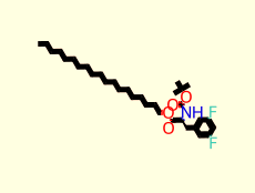 CCCCCCCCCCCCCCCCCCCOC(=O)[C@H](Cc1cc(F)cc(F)c1)NC(=O)OC(C)(C)C